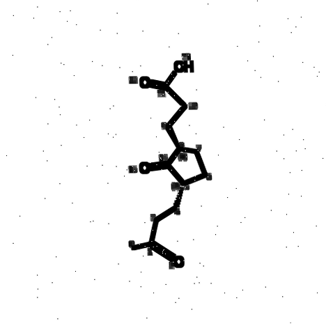 CC(=O)CC[C@H]1CC[C@H](CCC(=O)O)C1=O